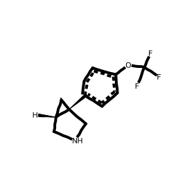 FC(F)(F)Oc1ccc([C@@]23CNC[C@@H]2C3)cc1